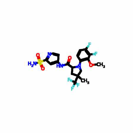 COc1c(N2CC(C)(C(F)(F)F)CC2C(=O)Nc2ccnc(S(N)(=O)=O)c2)ccc(F)c1F